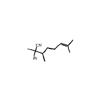 CC(C)=CCCC(C)C(C)(C#N)C(C)C